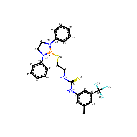 Cc1cc(NC(=S)NCCSP2N(c3ccccc3)CCN2c2ccccc2)cc(C(F)(F)F)c1